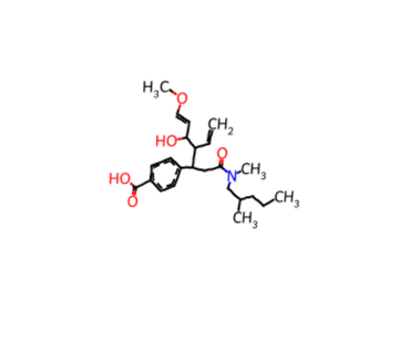 C=CC(C(O)/C=C/OC)C(CC(=O)N(C)CC(C)CCC)c1ccc(C(=O)O)cc1